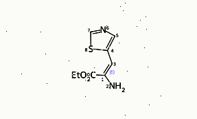 CCOC(=O)/C(N)=C\c1cncs1